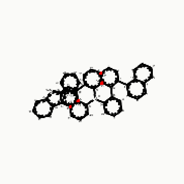 c1ccc(-c2cccc3ccccc23)c(-c2ccccc2N(c2ccccc2-c2ccc3c(c2)sc2ccccc23)c2cccc3sc4ccccc4c23)c1